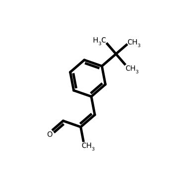 CC(C=O)=Cc1cccc(C(C)(C)C)c1